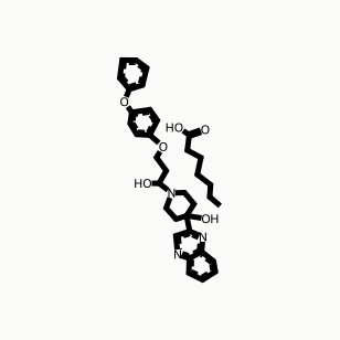 CCCCCCC(=O)O.OC(CCOc1ccc(Oc2ccccc2)cc1)N1CCC(O)(c2cnc3ccccc3n2)CC1